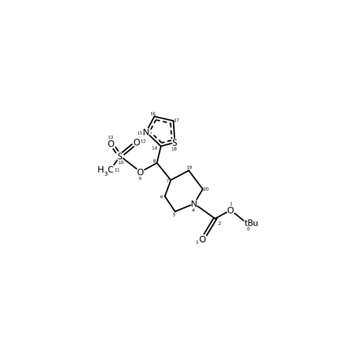 CC(C)(C)OC(=O)N1CCC(C(OS(C)(=O)=O)c2nccs2)CC1